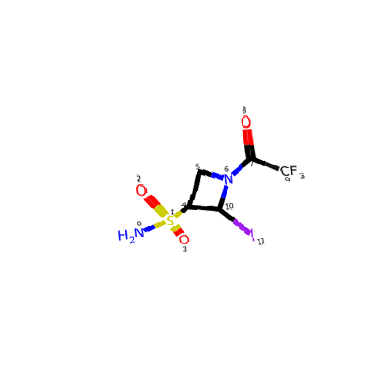 NS(=O)(=O)C1CN(C(=O)C(F)(F)F)C1I